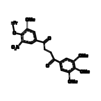 CCCOc1c(OC)cc(C(=O)CCC(=O)c2cc(OC)c(OC)c(OC)c2)cc1[N+](=O)[O-]